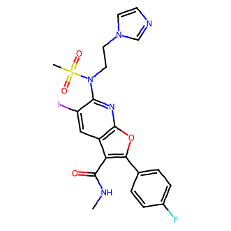 CNC(=O)c1c(-c2ccc(F)cc2)oc2nc(N(CCn3ccnc3)S(C)(=O)=O)c(I)cc12